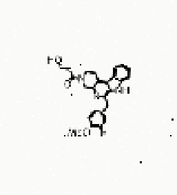 COc1ccc(Cc2nc3c(c4c2[nH]c2ccccc24)CCN(C(=O)CCO)C3)cc1F